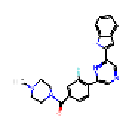 CN1CCN(C(=O)c2ccc(-c3cncc(-c4cc5ccccc5[nH]4)n3)c(F)c2)CC1